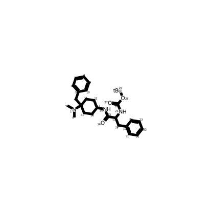 CN(C)C1(Cc2ccccc2)CCC(NC(=O)C(Cc2ccccc2)NC(=O)OC(C)(C)C)CC1